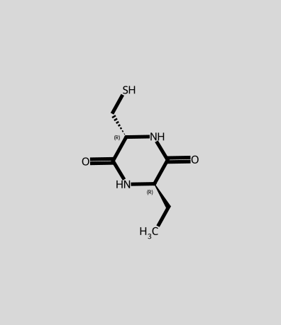 CC[C@H]1NC(=O)[C@H](CS)NC1=O